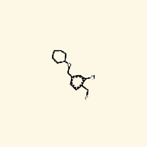 ClCc1ccc(COC2CCCCC2)cc1Cl